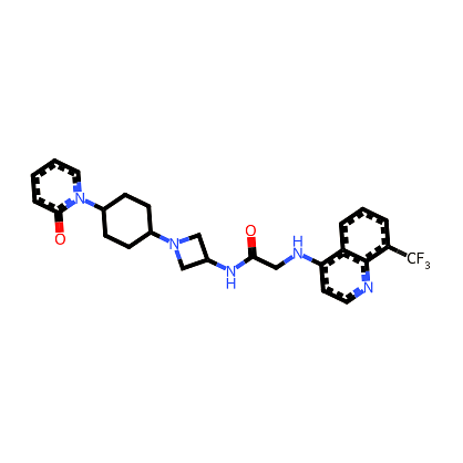 O=C(CNc1ccnc2c(C(F)(F)F)cccc12)NC1CN(C2CCC(n3ccccc3=O)CC2)C1